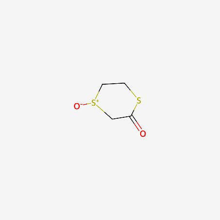 O=C1C[S+]([O-])CCS1